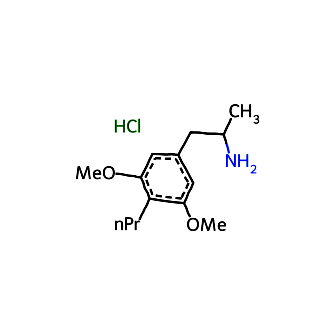 CCCc1c(OC)cc(CC(C)N)cc1OC.Cl